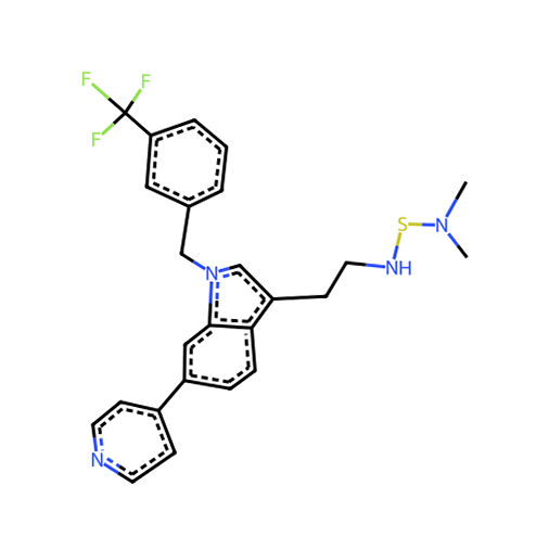 CN(C)SNCCc1cn(Cc2cccc(C(F)(F)F)c2)c2cc(-c3ccncc3)ccc12